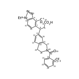 CCn1nnc2c(C)c(C(CC(=O)O)c3ccc4c(c3)CN(C(=O)c3ccccc3C(F)(F)F)CC4)ccc21